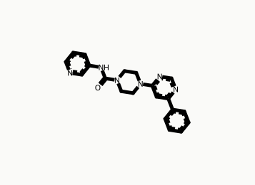 O=C(Nc1cccnc1)N1CCN(c2cc(-c3ccccc3)ncn2)CC1